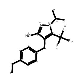 CCc1ccc(Cc2c(O)nn(C(C)C)c2C(F)(F)F)cc1